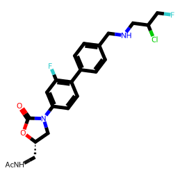 CC(=O)NC[C@H]1CN(c2ccc(-c3ccc(CNCC(Cl)CF)cc3)c(F)c2)C(=O)O1